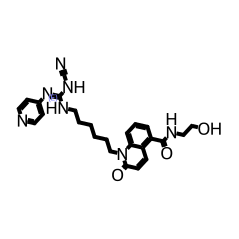 N#CN/C(=N/c1ccncc1)NCCCCCCn1c(=O)ccc2c(C(=O)NCCO)cccc21